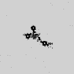 N=C(N)c1ccc(CNC(=O)CNC(=O)[C@@H](CCc2ccccc2)NS(=O)(=O)Cc2cccc(O)c2)cc1